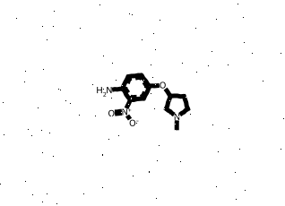 CN1CCC(Oc2ccc(N)c([N+](=O)[O-])c2)C1